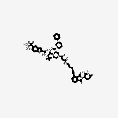 CC(C)(C)[C@H](NC(=O)c1cc2cc(C(F)(F)P(=O)(O)O)ccc2s1)C(=O)N1CCN(C(=O)CC(=O)NCCCC#Cc2cccc3c2C(=O)N(C2CCC(=O)NC2=O)C3=O)C[C@H]1C(=O)N1CCC[C@H](c2ccccc2)C1